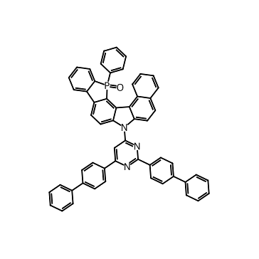 O=P1(c2ccccc2)c2ccccc2-c2ccc3c(c21)c1c2ccccc2ccc1n3-c1cc(-c2ccc(-c3ccccc3)cc2)nc(-c2ccc(-c3ccccc3)cc2)n1